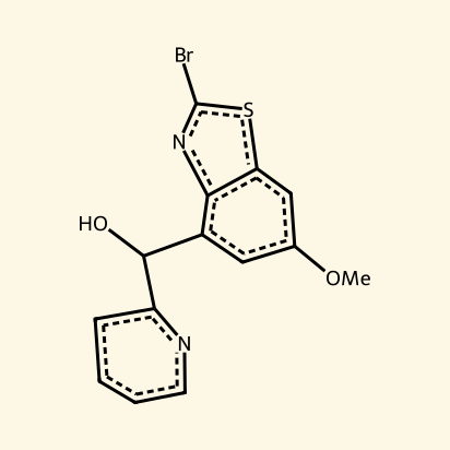 COc1cc(C(O)c2ccccn2)c2nc(Br)sc2c1